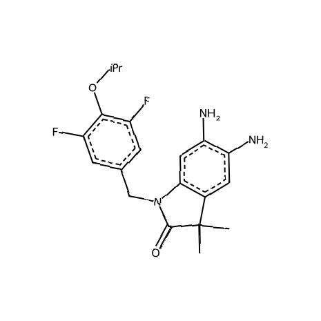 CC(C)Oc1c(F)cc(CN2C(=O)C(C)(C)c3cc(N)c(N)cc32)cc1F